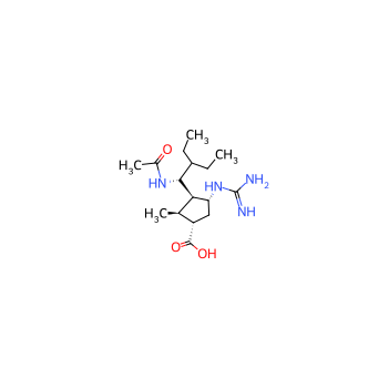 CCC(CC)[C@@H](NC(C)=O)[C@@H]1[C@H](C)[C@@H](C(=O)O)C[C@H]1NC(=N)N